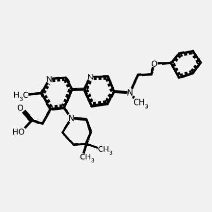 Cc1ncc(-c2ccc(N(C)CCOc3ccccc3)cn2)c(N2CCC(C)(C)CC2)c1CC(=O)O